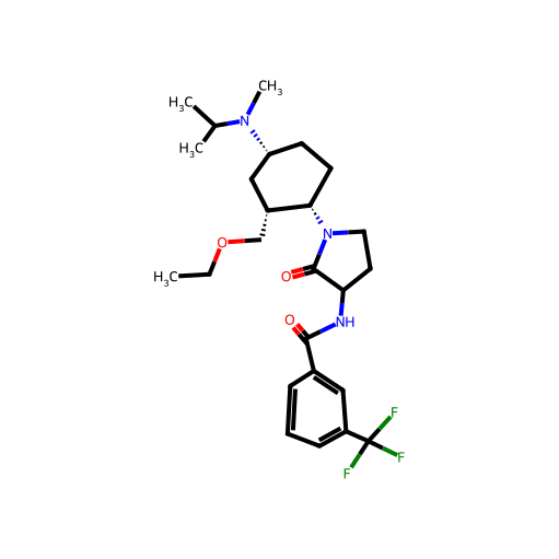 CCOC[C@@H]1C[C@H](N(C)C(C)C)CC[C@@H]1N1CCC(NC(=O)c2cccc(C(F)(F)F)c2)C1=O